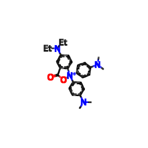 CCN(CC)c1ccc2c(c1)C(=O)O[N+]2(c1ccc(N(C)C)cc1)c1ccc(N(C)C)cc1